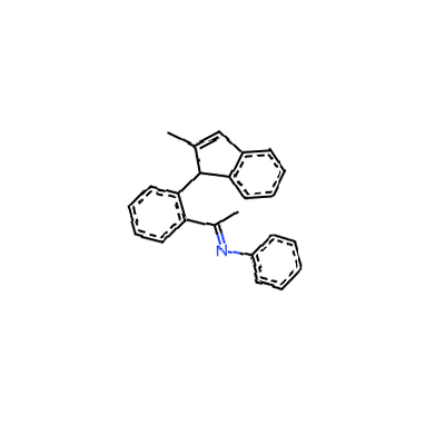 CC1=Cc2ccccc2C1c1ccccc1/C(C)=N/c1ccccc1